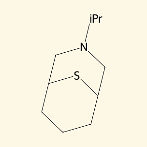 CC(C)N1CC2CCCC(C1)S2